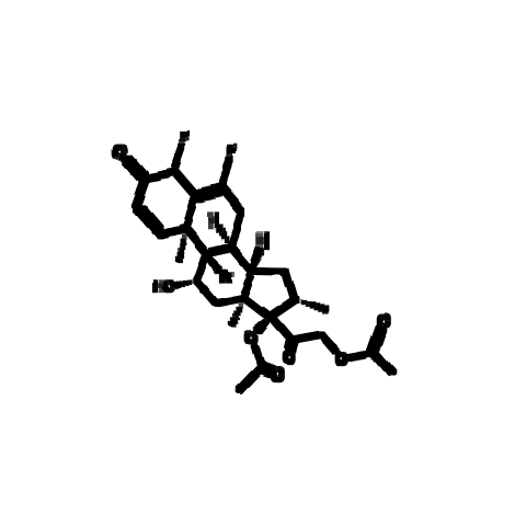 CC(=O)OCC(=O)[C@@]1(OC(C)=O)[C@@H](C)C[C@H]2[C@@H]3CC(F)=C4C(F)C(=O)C=C[C@]4(C)[C@@]3(Br)[C@@H](O)C[C@@]21C